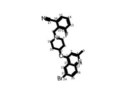 Cc1cc(OC2CCN(Cc3c(F)cccc3C#N)CC2)c2cc(Br)ccc2n1